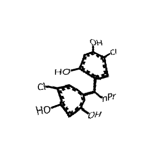 CCCC(c1cc(Cl)c(O)cc1O)c1cc(Cl)c(O)cc1O